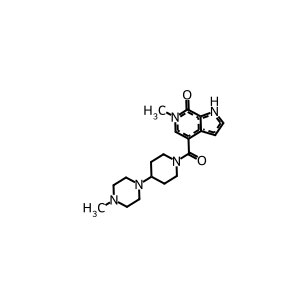 CN1CCN(C2CCN(C(=O)c3cn(C)c(=O)c4[nH]ccc34)CC2)CC1